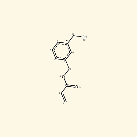 C=CC(=O)OCc1cccc(CO)c1